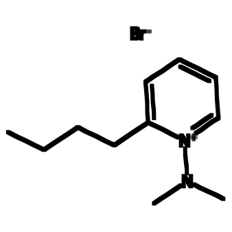 CCCCc1cccc[n+]1N(C)C.[Br-]